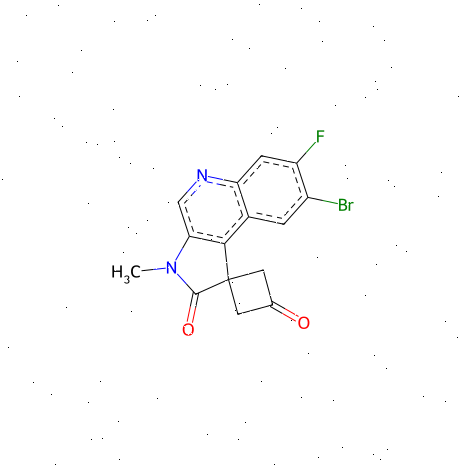 CN1C(=O)C2(CC(=O)C2)c2c1cnc1cc(F)c(Br)cc21